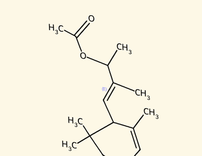 CC(=O)OC(C)/C(C)=C/C1C(C)=CCCC1(C)C